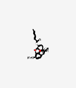 C/C=C/C=C/C(=O)OC1=CC[C@]2(O)[C@@H]3Cc4ccc(OC)c5c4[C@]2(CCN3C)[C@@H]1O5